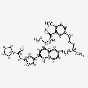 Cc1ccc(OCCN(C)C)cc1C(=O)N[C@H](C)c1cc(-c2cnn(CC(=O)N3CCCC3)c2)nc2ccccc12